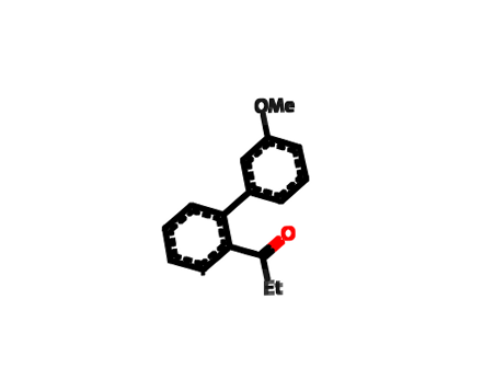 CCC(=O)c1[c]cccc1-c1cccc(OC)c1